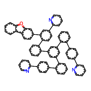 c1ccc(-c2ccc(-c3ccccc3-c3cc(-c4ccccc4-c4ccc(-c5ccccn5)cc4)cc(-c4ccccc4-c4ccc(-c5ccccn5)cc4-c4ccc5c(c4)oc4ccccc45)c3)cc2)nc1